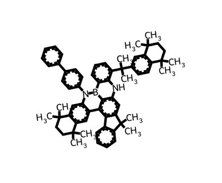 CC1(C)CCC(C)(C)c2cc(C(C)(C)c3cccc4c3Nc3cc5c(c6c3B4N(c3ccc(-c4ccccc4)cc3)c3cc4c(cc3-6)C(C)(C)CCC4(C)C)-c3ccccc3C5(C)C)ccc21